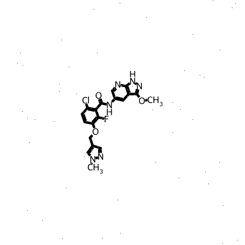 COc1n[nH]c2ncc(NC(=O)c3c(Cl)ccc(OCc4cnn(C)c4)c3F)cc12